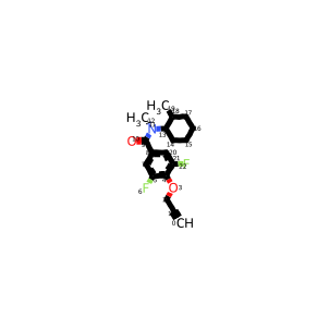 C#CCOc1c(F)cc(C(=O)N(C)C2CCCCC2C)cc1F